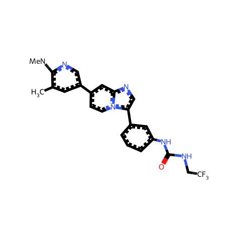 CNc1ncc(-c2ccn3c(-c4cccc(NC(=O)NCC(F)(F)F)c4)cnc3c2)cc1C